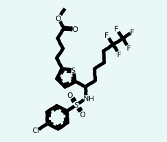 COC(=O)CCCc1ccc(C(CCCCC(F)(F)C(F)(F)F)NS(=O)(=O)c2ccc(Cl)cc2)s1